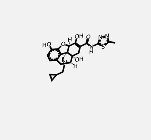 Cc1nnc(NC(=O)C2=C(O)[C@@H]3Oc4c(O)ccc5c4[C@@]34CCN(CC3CC3)[C@H](C5)[C@]4(O)C2)s1